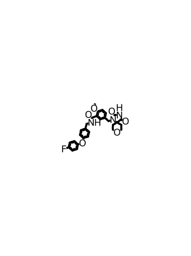 COc1ccc(CN2C(=O)NC(=O)C23CCOCC3)cc1C(=O)NCc1ccc(Oc2ccc(F)cc2)cc1